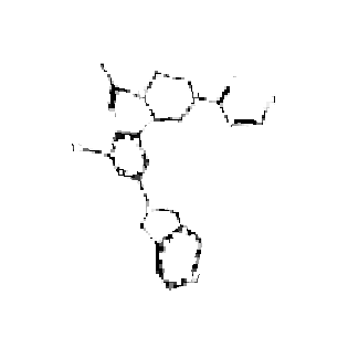 CC(=O)N1CCN(C(=O)/C=C\Cl)C[C@H]1c1cc(Cl)cc(N2Cc3ccncc3C2)c1